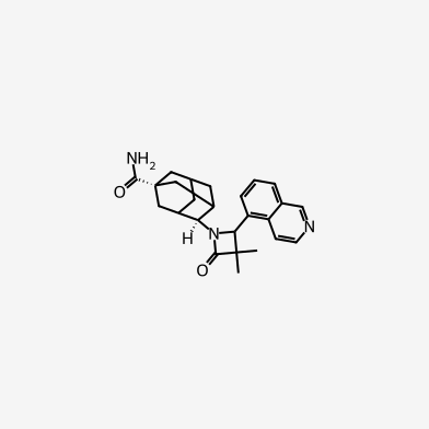 CC1(C)C(=O)N([C@H]2C3CC4CC2C[C@](C(N)=O)(C4)C3)C1c1cccc2cnccc12